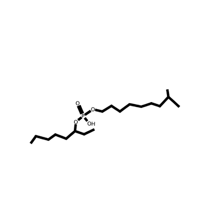 CCCCCC(CC)OP(=O)(O)OCCCCCCCC(C)C